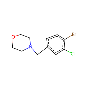 Clc1cc(CN2CCOCC2)ccc1Br